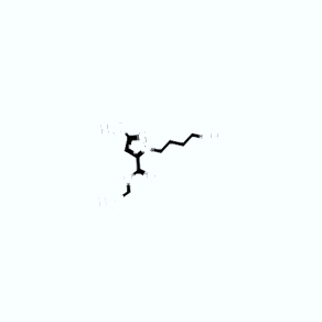 CCCCCn1nc(C)cc1C(=O)OCC